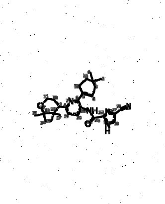 CC1(C)CC=C(c2nc(C3CCOC(C)(C)C3(C)C)ccc2NC(=O)c2nc(C#N)c[nH]2)CC1